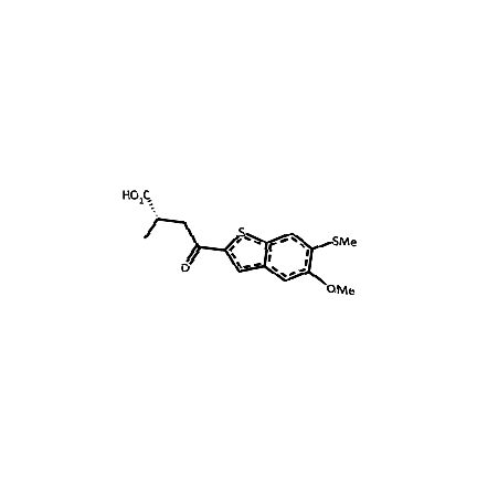 COc1cc2cc(C(=O)C[C@H](C)C(=O)O)sc2cc1SC